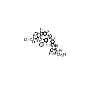 COC(=O)N[C@H](C(=O)N1CCC[C@H]1c1nc2cc([C@H]3CC[C@H](c4cc5nc([C@@H]6CCCN6C(=O)[C@H](C(C)C)N(C)C(=O)O)[nH]c5cc4F)N3c3cc(F)c(N4CCCCC4)c(F)c3)c(F)cc2[nH]1)C(C)C